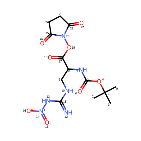 CC(C)(C)OC(=O)NC(CNC(=N)N[N+](=O)[O-])C(=O)ON1C(=O)CCC1=O